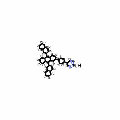 Cc1ncc(-c2ccc(-c3ccc4c(-c5ccc6ccccc6c5)c5ccccc5c(-c5ccc6ccccc6c5)c4c3)cc2)cn1